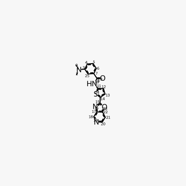 CN(C)c1cccc(C(=O)Nc2ccc(-c3nc4cnccc4o3)s2)c1